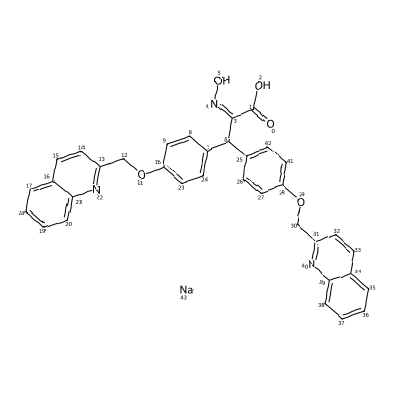 O=C(O)C(=NO)C(c1ccc(OCc2ccc3ccccc3n2)cc1)c1ccc(OCc2ccc3ccccc3n2)cc1.[Na]